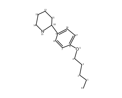 CCCCCOc1ccc(C2CCCC[N]2)cc1